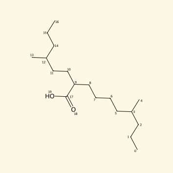 CCCC(C)CCCCC(CCC(C)CCC)C(=O)O